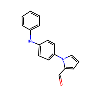 O=Cc1cccn1-c1ccc(Nc2ccccc2)cc1